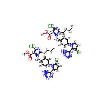 CCCCc1nc(Cl)c(C(=O)OC)n1Cc1ccc(-n2c(Cl)ccc2-c2nnn[nH]2)cc1.CCCCc1nc(Cl)c(C(=O)OC)n1Cc1ccc(-n2ccc(Br)c2-c2nnn[nH]2)cc1